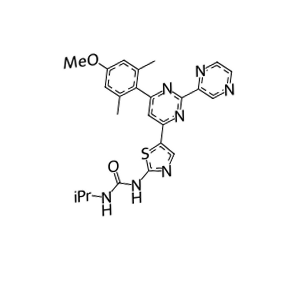 COc1cc(C)c(-c2cc(-c3cnc(NC(=O)NC(C)C)s3)nc(-c3cnccn3)n2)c(C)c1